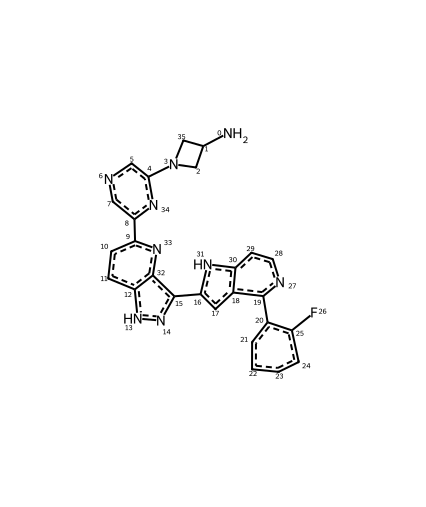 NC1CN(c2cncc(-c3ccc4[nH]nc(-c5cc6c(-c7ccccc7F)nccc6[nH]5)c4n3)n2)C1